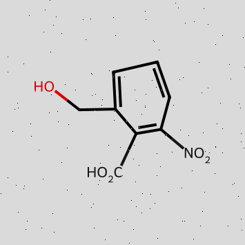 O=C(O)c1c(CO)cccc1[N+](=O)[O-]